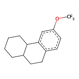 FC(F)(F)Oc1ccc2c(c1)C1CCCCC1CC2